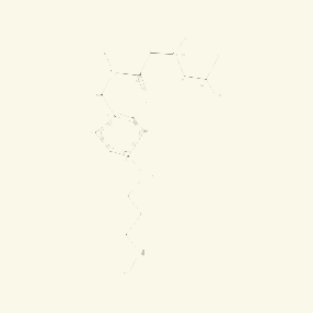 CNCCCOc1ccc(CN(C)C(=O)CN(C)CC(C)C)cc1